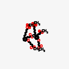 COC(=O)/C=C/c1cc(OCCCC(=O)OC)ccc1CCCCCCOS(C)(=O)=O.COC(=O)CCCCOc1cccc(CCCCCCOS(C)(=O)=O)c1CCC(=O)OC